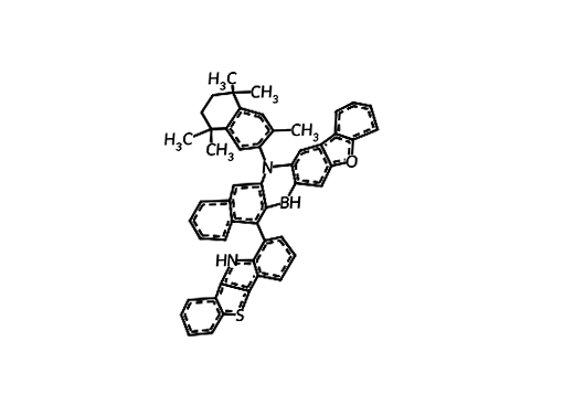 Cc1cc2c(cc1N1c3cc4c(cc3Bc3c1cc1ccccc1c3-c1cccc3c1[nH]c1c5ccccc5sc31)oc1ccccc14)C(C)(C)CCC2(C)C